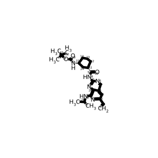 C=Cc1cc2cnc(NC(=O)[C@H]3CCC[C@@H](NC(=O)OC(C)(C)C)C3)nc2c(NC(C)C)n1